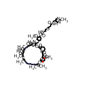 CO[C@H]1C[C@@H]2CC[C@@H](C)[C@@](O)(O2)C(=O)C(=O)N2CCCC[C@H]2C(=O)O[C@H]([C@H](N)C[C@@H]2CC[C@@H](OC(=O)NCCOCCC(=O)NCc3cnc(C)nc3)[C@H](OC)C2)C[C@@H](O)[C@H](C)/C=C(\C)[C@@H](O)[C@@H](O)C(=O)[C@H](C)C[C@H](C)/C=C/C=C/C=C/1C